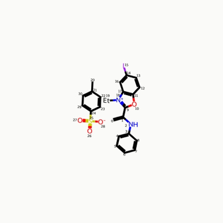 C=C(Nc1ccccc1)c1oc2ccc(I)cc2[n+]1CC.Cc1ccc(S(=O)(=O)[O-])cc1